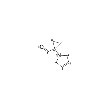 O=CC1(N2CC=CC2)CC1